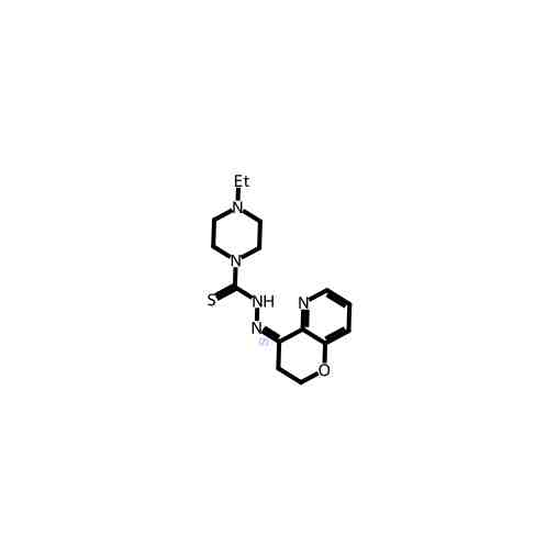 CCN1CCN(C(=S)N/N=C2/CCOc3cccnc32)CC1